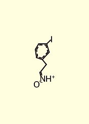 [O-][NH+]=CCc1cccc(I)c1